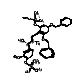 COc1cc([C@H](O)[C@@H](O)Cc2c(OCc3ccccc3)cc(OCc3ccccc3)cc2O[Si](C)(C)C(C)(C)C)ccc1O[Si](C)(C)C(C)(C)C